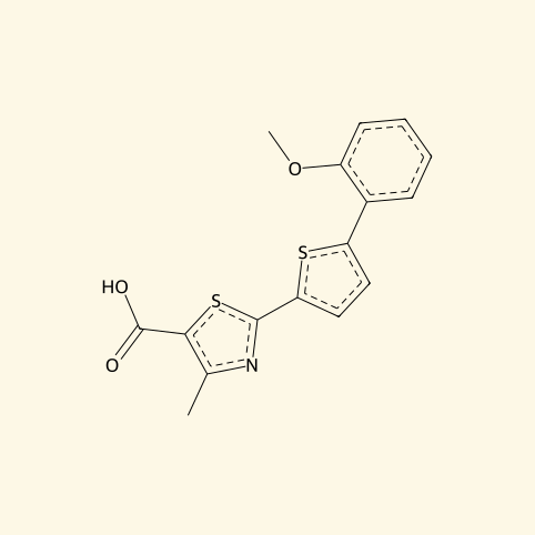 COc1ccccc1-c1ccc(-c2nc(C)c(C(=O)O)s2)s1